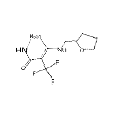 O=c1[nH]ncc(NCC2CCCO2)c1C(F)(F)F